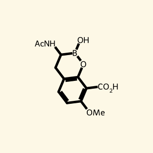 COc1ccc2c(c1C(=O)O)OB(O)C(NC(C)=O)C2